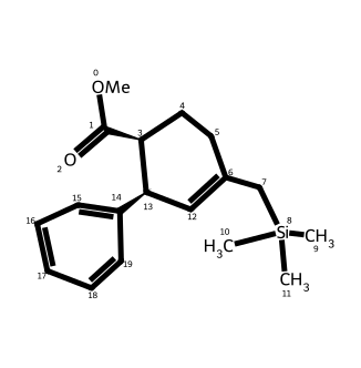 COC(=O)[C@H]1CCC(C[Si](C)(C)C)=C[C@H]1c1ccccc1